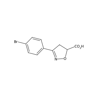 O=C(O)C1CC(c2ccc(Br)cc2)=NO1